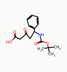 CC(C)(C)OC(=O)NC(CC(=O)CC(=O)O)c1ccccc1